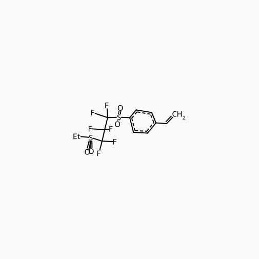 C=Cc1ccc(S(=O)(=O)C(F)(F)C(F)(F)C(F)(F)S(=O)(=O)CC)cc1